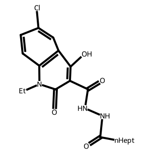 CCCCCCCC(=O)NNC(=O)c1c(O)c2cc(Cl)ccc2n(CC)c1=O